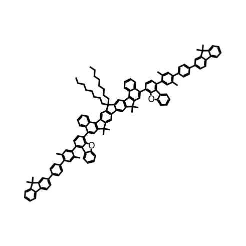 CCCCCCCCC1(CCCCCCCC)c2cc3c(cc2-c2cc4c(cc21)-c1c(cc(-c2ccc(-c5cc(C)c(-c6ccc(-c7ccc8c(c7)C(C)(C)c7ccccc7-8)cc6)cc5C)c5c2oc2ccccc25)c2ccccc12)C4(C)C)C(C)(C)c1cc(-c2ccc(-c4cc(C)c(-c5ccc(-c6ccc7c(c6)C(C)(C)c6ccccc6-7)cc5)cc4C)c4c2oc2ccccc24)c2ccccc2c1-3